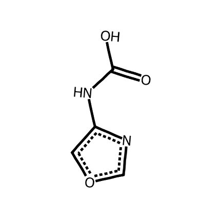 O=C(O)Nc1cocn1